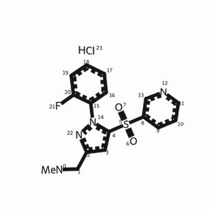 CNCc1cc(S(=O)(=O)c2cccnc2)n(-c2ccccc2F)n1.Cl